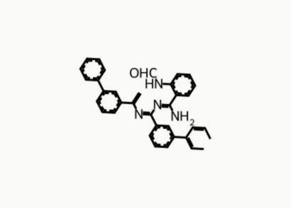 C=C(/N=C(\N=C(/N)c1ccccc1NC=O)c1cccc(C(/C=C\C)=C/C)c1)c1cccc(-c2ccccc2)c1